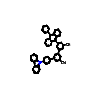 N#Cc1cc(-c2ccc(-n3c4ccccc4c4ccccc43)cc2)cc(-c2cc(C#N)cc(-c3c4ccccc4c(-c4ccccc4)c4ccccc34)c2)c1